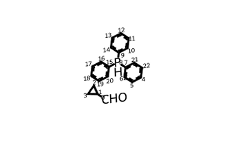 O=CC1CC1.c1ccc([PH2](c2ccccc2)c2ccccc2)cc1